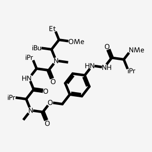 CCC(C)C(C(CC)OC)N(C)C(=O)C(NC(=O)C(C(C)C)N(C)C(=O)OCc1ccc(NNC(=O)C(NC)C(C)C)cc1)C(C)C